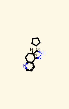 c1cnc2c(c1)C1=NN[C@@H](C3CCCC3)[C@H]1CC2